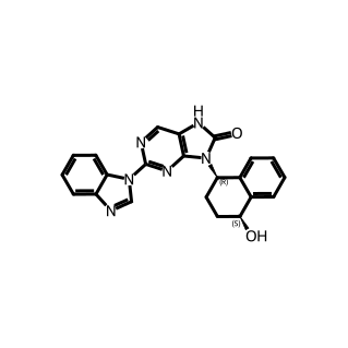 O=c1[nH]c2cnc(-n3cnc4ccccc43)nc2n1[C@@H]1CC[C@H](O)c2ccccc21